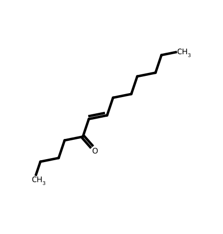 CCCCCC/C=C/C(=O)CCCC